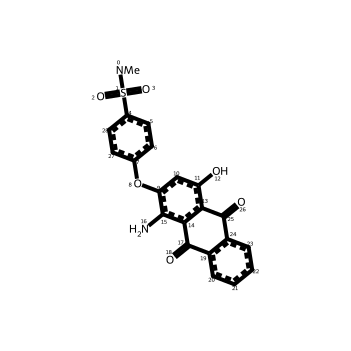 CNS(=O)(=O)c1ccc(Oc2cc(O)c3c(c2N)C(=O)c2ccccc2C3=O)cc1